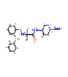 CC(C)(NCc1ccccc1Oc1ccccc1)C(=O)Nc1ccc(C#N)nc1